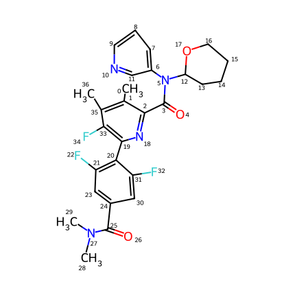 Cc1c(C(=O)N(c2cccnc2)C2CCCCO2)nc(-c2c(F)cc(C(=O)N(C)C)cc2F)c(F)c1C